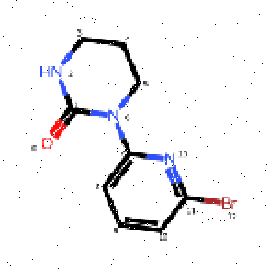 O=C1NCCCN1c1cccc(Br)n1